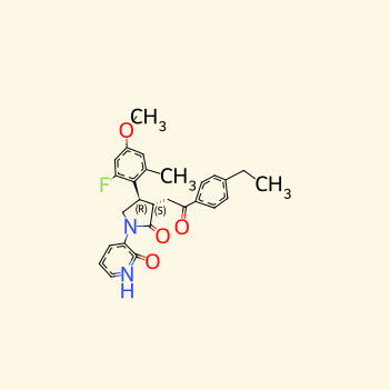 CCc1ccc(C(=O)C[C@@H]2C(=O)N(c3ccc[nH]c3=O)C[C@H]2c2c(C)cc(OC)cc2F)cc1